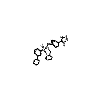 O=S(=O)(c1cccc(-c2ccccc2)c1)N(Cc1ccc(-c2nnn[nH]2)cc1)Cc1ccccn1